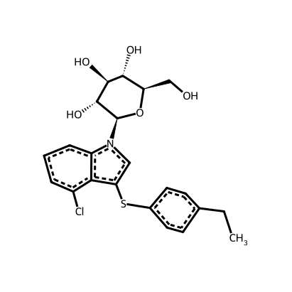 CCc1ccc(Sc2cn([C@@H]3O[C@H](CO)[C@@H](O)[C@H](O)[C@H]3O)c3cccc(Cl)c23)cc1